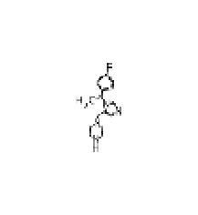 C[C@H](c1ccc(F)cc1)n1cncc1CN1CCNCC1